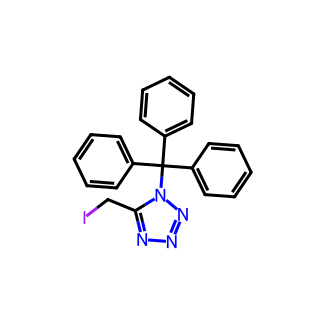 ICc1nnnn1C(c1ccccc1)(c1ccccc1)c1ccccc1